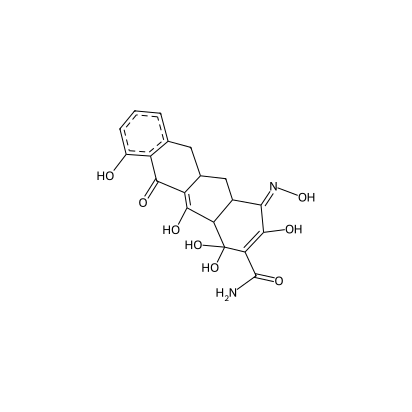 NC(=O)C1=C(O)/C(=N\O)C2CC3Cc4cccc(O)c4C(=O)C3=C(O)C2C1(O)O